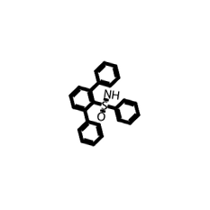 N=S(=O)(c1ccccc1)c1c(-c2ccccc2)cccc1-c1ccccc1